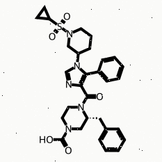 O=C(O)N1CCN(C(=O)c2ncn(C3CCCN(S(=O)(=O)C4CC4)C3)c2-c2ccccc2)[C@H](Cc2ccccc2)C1